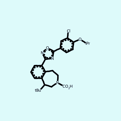 CC(C)Oc1ccc(-c2nc(-c3cccc4c3CCN(C(=O)O)CC4C(C)(C)C)no2)cc1Cl